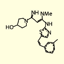 CN/C(=C\C(=N)N1CCC(O)CC1)Nc1ncc(/C=C\c2cccc(C)c2)s1